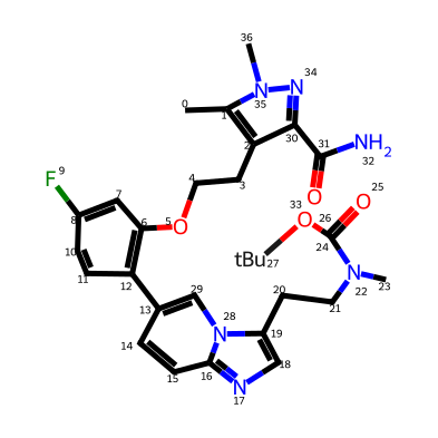 Cc1c(CCOc2cc(F)ccc2-c2ccc3ncc(CCN(C)C(=O)OC(C)(C)C)n3c2)c(C(N)=O)nn1C